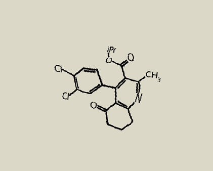 Cc1nc2c(c(-c3ccc(Cl)c(Cl)c3)c1C(=O)OC(C)C)C(=O)CCC2